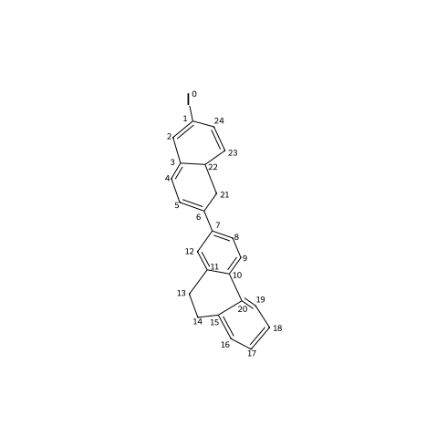 IC1=CC2=CC=C(c3ccc4c(c3)CCc3ccccc3-4)CC2C=C1